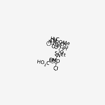 CCOC(CC(C(C)C)N(C)C(=O)C(NC(=O)[C@H]1CCCCN1C)C(C)OC)c1nc(C(=O)NC(Cc2ccccc2)CC(C)C(=O)O)cs1